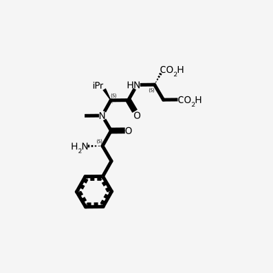 CC(C)[C@@H](C(=O)N[C@@H](CC(=O)O)C(=O)O)N(C)C(=O)[C@@H](N)Cc1ccccc1